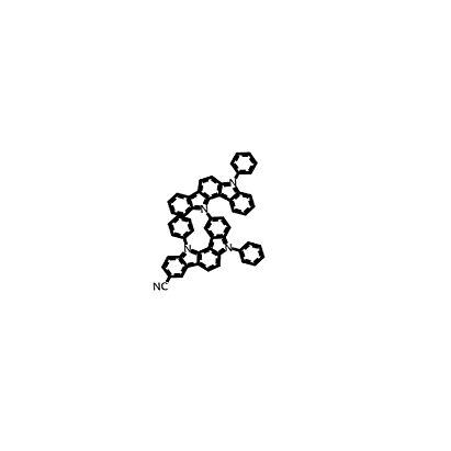 N#Cc1ccc2c(c1)c1ccc3c(c4cc(-n5c6ccccc6c6ccc7c(c8ccccc8n7-c7ccccc7)c65)ccc4n3-c3ccccc3)c1n2-c1ccccc1